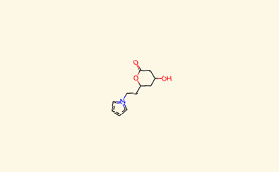 O=C1CC(O)CC(CCn2cccc2)O1